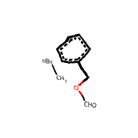 CCCCC.O=COCc1ccccc1